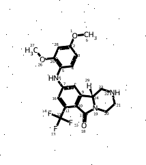 COc1ccc(Nc2cc3c(c(C(F)(F)F)c2)C(=O)N2CCNC[C@@H]32)c(OC)c1